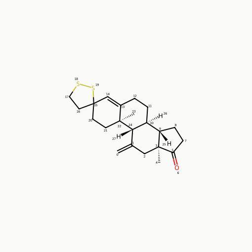 C=C1C[C@]2(C)C(=O)CC[C@H]2[C@@H]2CCC3=CC4(CCSS4)CC[C@]3(C)[C@@H]12